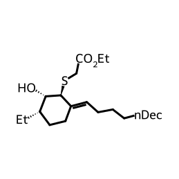 CCCCCCCCCCCCCC=C1CC[C@H](CC)[C@H](O)[C@H]1SCC(=O)OCC